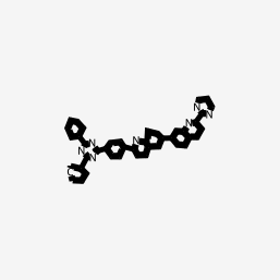 c1ccc(-c2nc(-c3ccccc3)nc(-c3ccc(-c4ccc5cc(-c6ccc7ccc(-c8ncccn8)nc7c6)ccc5n4)cc3)n2)cc1